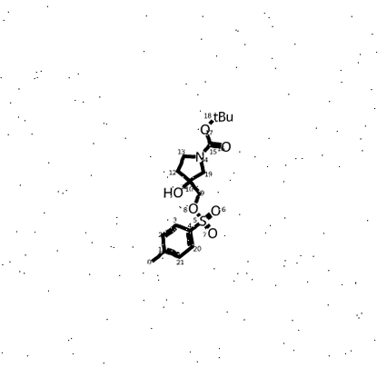 Cc1ccc(S(=O)(=O)OCC2(O)CCN(C(=O)OC(C)(C)C)C2)cc1